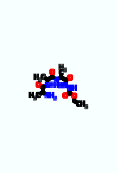 CCOC(=O)NNC(=O)C(C)NC(=O)C(C)NC(=O)C(C)N